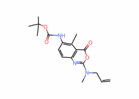 C=CCN(C)c1nc2ccc(NC(=O)OC(C)(C)C)c(C)c2c(=O)o1